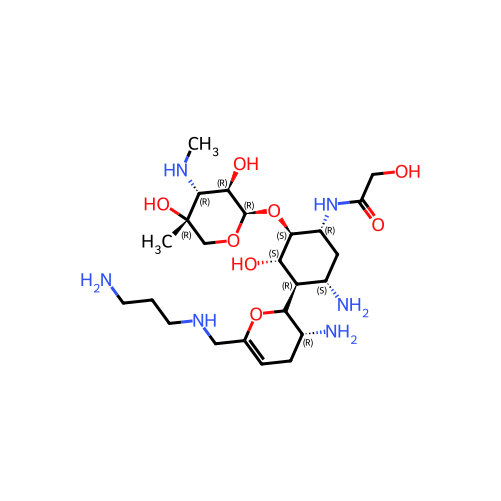 CN[C@@H]1[C@@H](O)[C@@H](O[C@@H]2[C@@H](O)[C@H](C3OC(CNCCCN)=CC[C@H]3N)[C@@H](N)C[C@H]2NC(=O)CO)OC[C@]1(C)O